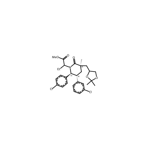 CCC(C(=O)OC)N1C(=O)[C@@](C)(CC2COC(C)(C)O2)C[C@H](c2cccc(Cl)c2)[C@H]1c1ccc(Cl)cc1